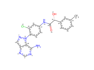 Nc1ncnc2cnn(-c3ccc(NC(=O)[C@H](O)c4cccc(C(F)(F)F)c4)cc3Cl)c12